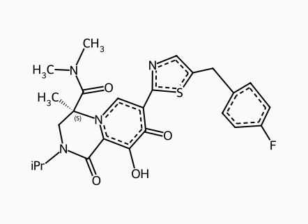 CC(C)N1C[C@@](C)(C(=O)N(C)C)n2cc(-c3ncc(Cc4ccc(F)cc4)s3)c(=O)c(O)c2C1=O